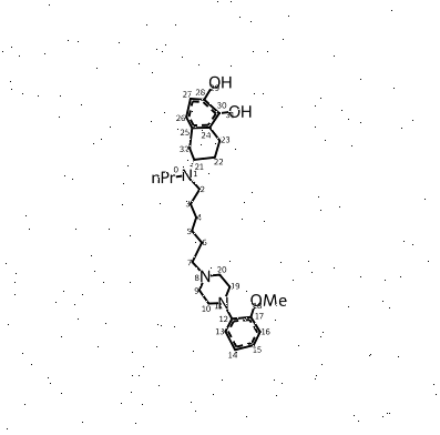 CCCN(CCCCCCN1CCN(c2ccccc2OC)CC1)[C@H]1CCc2c(ccc(O)c2O)C1